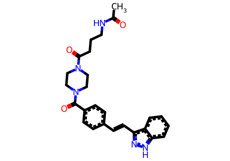 CC(=O)NCCCC(=O)N1CCN(C(=O)c2ccc(C=Cc3n[nH]c4ccccc34)cc2)CC1